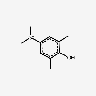 Cc1cc([S+](C)C)cc(C)c1O